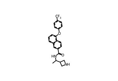 CC(NC(=O)c1ccc2c(Oc3ccc(C(F)(F)F)cc3)cccc2c1)C1CNC1